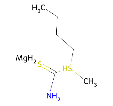 CCCC[SH](C)C(N)=S.[MgH2]